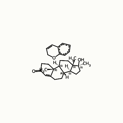 C1=Cc2ccccc2OC1.C[C@]12CCC(=O)C=C1CC[C@@H]1[C@@H]2CC[C@@]2(C)[C@H]1CC[C@]2(C)O